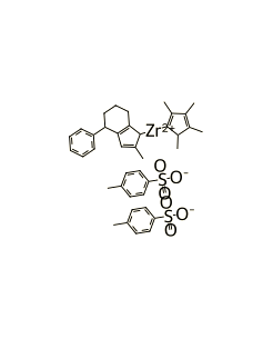 CC1=CC2=C(CCCC2c2ccccc2)[CH]1[Zr+2][C]1=C(C)C(C)=C(C)C1C.Cc1ccc(S(=O)(=O)[O-])cc1.Cc1ccc(S(=O)(=O)[O-])cc1